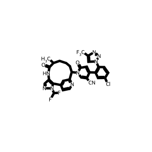 CC1CCCC(n2cc(C#N)c(-c3cc(Cl)ccc3-n3cc(C(F)(F)F)nn3)cc2=O)c2cc(ccn2)-c2c(cnn2C(F)F)NC1=O